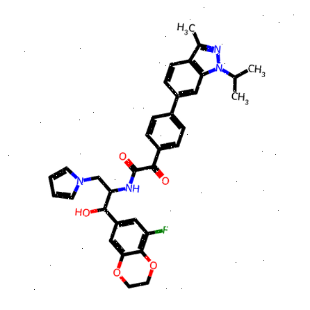 Cc1nn(C(C)C)c2cc(-c3ccc(C(=O)C(=O)NC(Cn4cccc4)C(O)c4cc(F)c5c(c4)OCCO5)cc3)ccc12